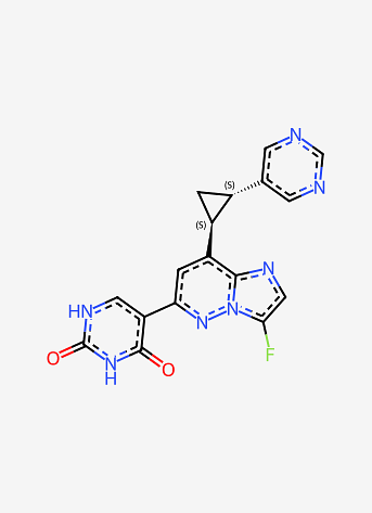 O=c1[nH]cc(-c2cc([C@H]3C[C@@H]3c3cncnc3)c3ncc(F)n3n2)c(=O)[nH]1